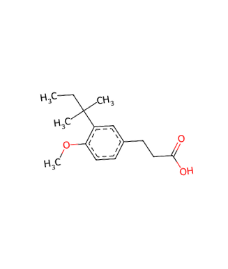 CCC(C)(C)c1cc(CCC(=O)O)ccc1OC